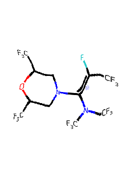 F/C(=C(\N1CC(C(F)(F)F)OC(C(F)(F)F)C1)N(C(F)(F)F)C(F)(F)F)C(F)(F)F